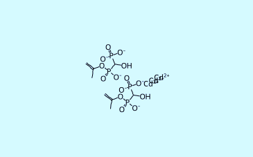 C=C(C)OP(=O)([O-])C(O)P(=O)([O-])[O-].C=C(C)OP(=O)([O-])C(O)P(=O)([O-])[O-].[Cd+2].[Cd+2].[Cd+2]